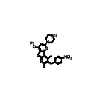 CCOc1nc(N2CCNCC2)nc2c1sc1nc(C)c(Cc3ccc([N+](=O)[O-])cc3)c(C)c12